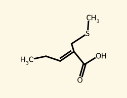 CCC=C(CSC)C(=O)O